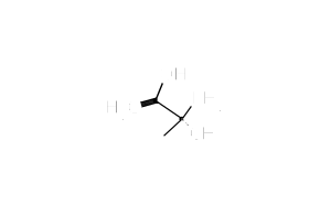 C=C(O)[C@](C)(F)P